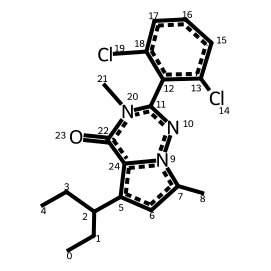 CCC(CC)c1cc(C)n2nc(-c3c(Cl)cccc3Cl)n(C)c(=O)c12